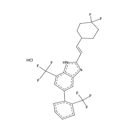 Cl.FC1(F)CCC(/C=C/c2nc3cc(-c4ccccc4C(F)(F)F)cc(C(F)(F)F)c3[nH]2)CC1